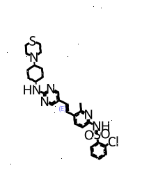 Cc1nc(NS(=O)(=O)c2ccccc2Cl)ccc1/C=C/c1cnc(N[C@H]2CC[C@H](N3CCSCC3)CC2)nc1